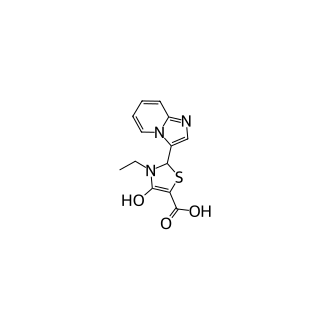 CCN1C(O)=C(C(=O)O)SC1c1cnc2ccccn12